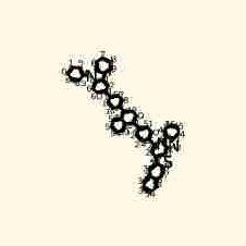 c1ccc(-n2c3ccccc3c3cc(-c4ccc(-c5ccc(-c6ccc(-c7cc8c9cc%10ccccc%10cc9sc8c8nc9ccccc9n78)cc6)c6ccccc56)cc4)ccc32)cc1